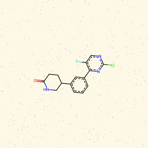 O=C1CCC(c2cccc(-c3nc(Cl)ncc3F)c2)CN1